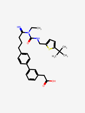 CCN(C(=N)CCCc1ccc(-c2cccc(CC(=O)O)c2)cc1)C(=O)NCc1ccc(C(C)(C)C)s1